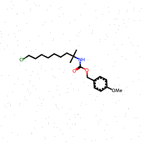 COc1ccc(COC(=O)NC(C)(C)CCCCCCCCl)cc1